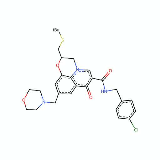 CC(C)(C)SCC1Cn2cc(C(=O)NCc3ccc(Cl)cc3)c(=O)c3cc(CN4CCOCC4)cc(c32)O1